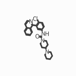 O=C(Nc1ccc(Cl)c(-c2nccc3ccccc23)c1)N1CCC(N2CCCCC2)CC1